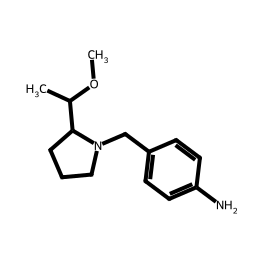 COC(C)C1CCCN1Cc1ccc(N)cc1